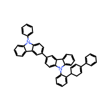 C1=CC(c2ccccc2-n2c3ccccc3c3cc(-c4ccc5c(c4)c4ccccc4n5-c4ccccc4)ccc32)CC=C1c1ccccc1